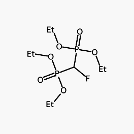 CCOP(=O)(OCC)C(F)P(=O)(OCC)OCC